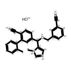 Cc1ccccc1-c1cc(C(OCc2cccc(C#N)c2)c2cncn2C)ccc1C#N.Cl